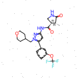 C[C@H]1C(=O)NC[C@@H]1C(=O)Nc1cc(-c2cccc(OC(F)(F)F)c2)n(CC2CCOCC2)n1